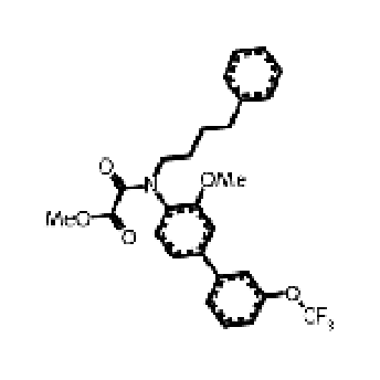 COC(=O)C(=O)N(CCCCc1ccccc1)c1ccc(-c2cccc(OC(F)(F)F)c2)cc1OC